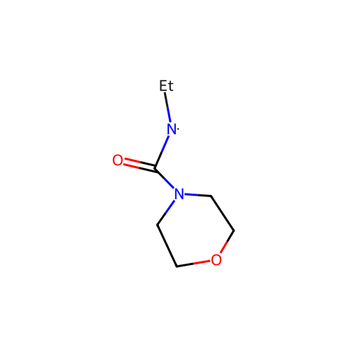 CC[N]C(=O)N1CCOCC1